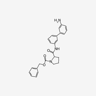 Nc1cccc(-c2cccc(NC(=O)C3CCCN3C(=O)OCc3ccccc3)c2)c1